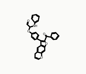 O=CC(Nc1ccccc1)Oc1ccc(-c2c(C(=O)c3ccccc3)oc3cc4c(cc23)CC=CO4)cc1